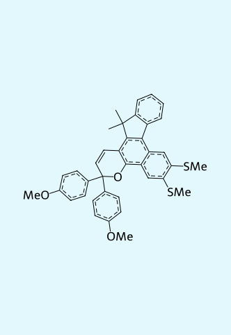 COc1ccc(C2(c3ccc(OC)cc3)C=Cc3c4c(c5cc(SC)c(SC)cc5c3O2)-c2ccccc2C4(C)C)cc1